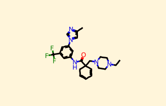 CCN1CCN(CC2(C(=O)Nc3cc(-n4cnc(C)c4)cc(C(F)(F)F)c3)C=CC=CC2)CC1